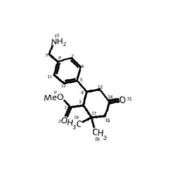 COC(=O)C1C(c2ccc(CN)cc2)CC(=O)CC1(C)C